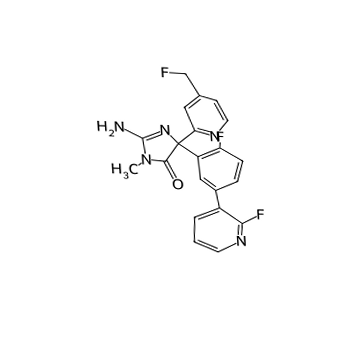 CN1C(=O)C(c2cc(CF)ccn2)(c2cc(-c3cccnc3F)ccc2F)N=C1N